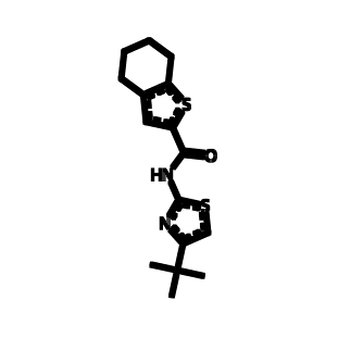 CC(C)(C)c1csc(NC(=O)c2cc3c(s2)CCCC3)n1